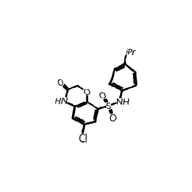 CC(C)c1ccc(NS(=O)(=O)c2cc(Cl)cc3c2OCC(=O)N3)cc1